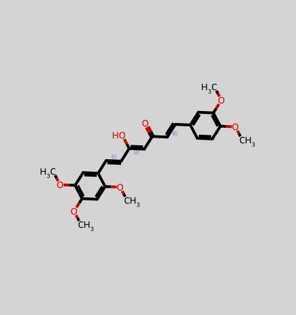 COc1cc(OC)c(OC)cc1/C=C/C(O)=C/C(=O)/C=C/c1ccc(OC)c(OC)c1